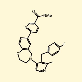 CNC(=O)c1ccc(-c2ccc3c(c2)CN(c2ncnc(C)c2Cc2ccc(F)cc2)CCO3)nc1